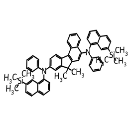 CC1(C)c2cc(N(c3ccccc3)c3cccc4ccc([Si](C)(C)C)cc34)ccc2-c2c1cc(N(c1ccccc1)c1cccc3ccc([Si](C)(C)C)cc13)c1ccccc21